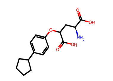 N[C@@H](CC(Oc1ccc(C2CCCC2)cc1)C(=O)O)C(=O)O